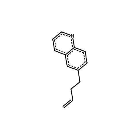 C=CCCc1ccc2ncccc2c1